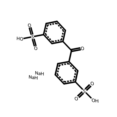 O=C(c1cccc(S(=O)(=O)O)c1)c1cccc(S(=O)(=O)O)c1.[NaH].[NaH]